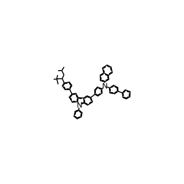 CC(C)CC(c1ccc(-c2ccc3c(c2)c2cc(-c4ccc(N(c5ccc(-c6ccccc6)cc5)c5ccc6ccccc6c5)cc4)ccc2n3-c2ccccc2)cc1)C(C)(C)C